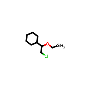 [SiH3]COC(CCl)C1CCCCC1